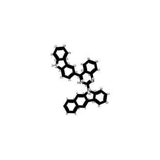 c1ccc2cc3c(cc2c1)c1ccccc1n3-c1nc(-c2ccc3sc4ccccc4c3c2)c2ccccc2n1